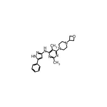 Cc1nc(Nc2cc(-c3ccccc3)[nH]n2)c(C)c(N2CCN(C3COC3)CC2)n1